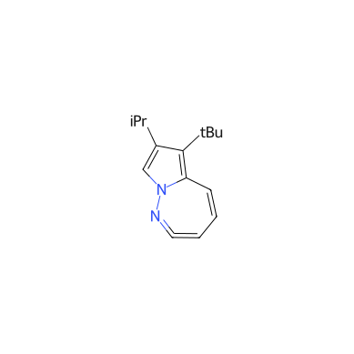 CC(C)c1cn2c(c1C(C)(C)C)C=CC=C=N2